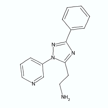 NCCc1nc(-c2ccccc2)nn1-c1cccnc1